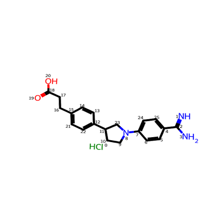 Cl.N=C(N)c1ccc(N2CCC(c3ccc(CCC(=O)O)cc3)C2)cc1